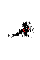 C=C(C)C(=O)OCCCc1cc(-c2ccc(C3CCC(CCCCC)CC3)cc2F)ccc1OCC(COC(=O)C(=C)C)(COC(=O)C(CC)(COC)C(=O)OC)COC(=O)C(COC)(COC)C(=O)OC